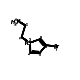 NCC[SH]1C=CC(Br)=C1